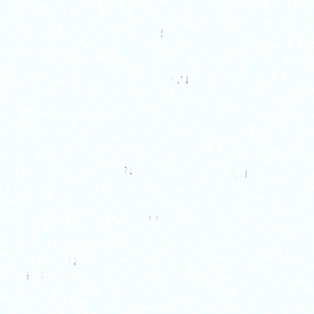 Cc1cc2c(c(NC(N)=O)c1-c1ccnc(OC3CCN(C)CC3)c1)CCC2